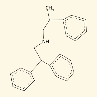 CC(CNCC(c1ccccc1)c1ccccc1)c1ccccc1